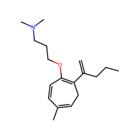 C=C(CCC)C1=C(OCCCN(C)C)C=CC(C)=CC1